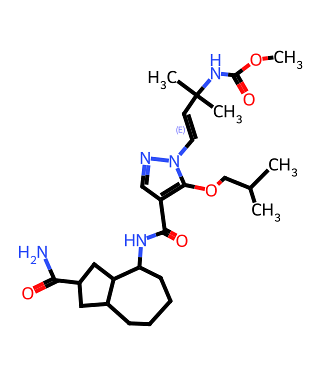 COC(=O)NC(C)(C)/C=C/n1ncc(C(=O)NC2CCCCC3CC(C(N)=O)CC32)c1OCC(C)C